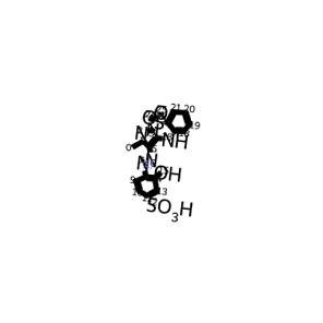 Cc1nn2c(c1/N=N/c1ccc(S(=O)(=O)O)cc1O)Nc1ccccc1S2(=O)=O